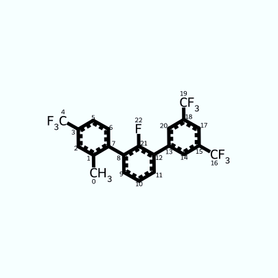 Cc1cc(C(F)(F)F)ccc1-c1cccc(-c2cc(C(F)(F)F)cc(C(F)(F)F)c2)c1F